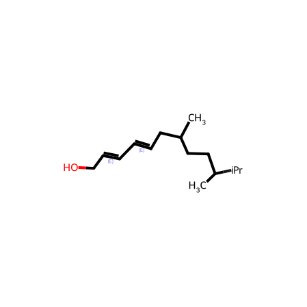 CC(C/C=C/C=C/CO)CCC(C)C(C)C